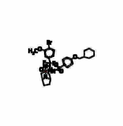 COc1cc(C(F)(F)[C@@H](NS(=O)(=O)c2ccc(OCC3CCCCC3)cc2)C(=O)N2C3CCC2CC(N)C3)ccc1Br